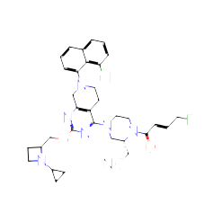 N#CC[C@H]1CN(c2nc(OCC3CCN3C3CC3)nc3c2CCN(c2cccc4cccc(Cl)c24)C3)CCN1C(=O)/C=C/CF